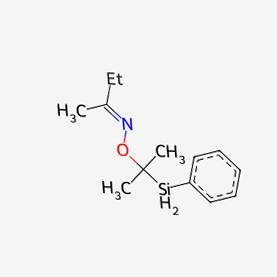 CCC(C)=NOC(C)(C)[SiH2]c1ccccc1